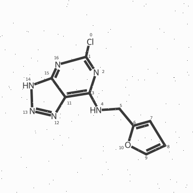 Clc1nc(NCc2ccco2)c2nn[nH]c2n1